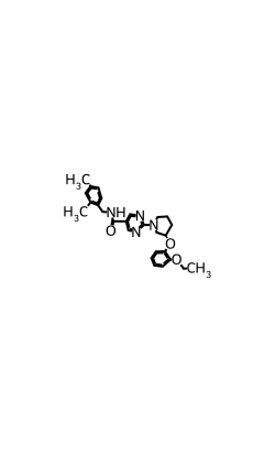 CCOc1ccccc1O[C@@H]1CCCN(c2ncc(C(=O)NCc3ccc(C)cc3C)cn2)C1